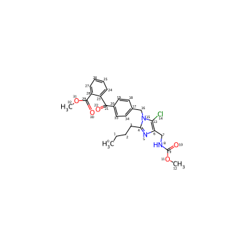 CCCCc1nc(CNC(=O)OC)c(Cl)n1Cc1ccc(C(=O)c2ccccc2C(=O)OC)cc1